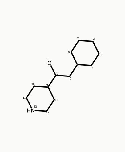 [O]C(CC1CCCCC1)C1CCNCC1